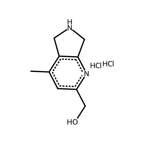 Cc1cc(CO)nc2c1CNC2.Cl.Cl